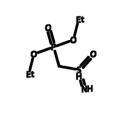 CCOP(=O)(C[SH](=N)=O)OCC